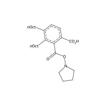 CCCCCCCCc1ccc(C(=O)O)c(C(=O)ON2CCCC2)c1CCCCCCCC